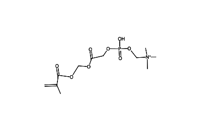 C=C(C)C(=O)OCOC(=O)COP(=O)(O)OC[N+](C)(C)C